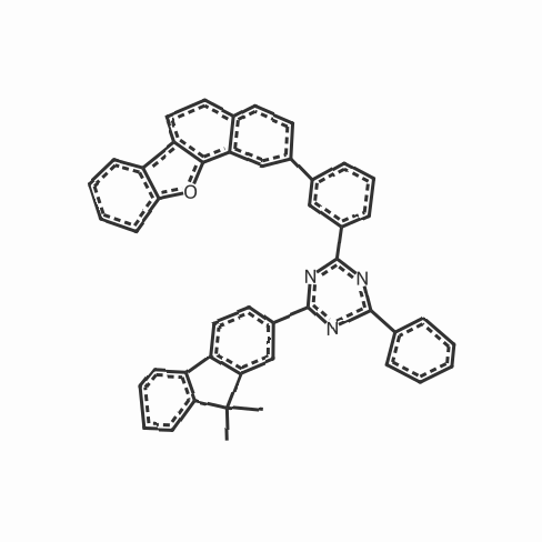 CC1(C)c2ccccc2-c2ccc(-c3nc(-c4ccccc4)nc(-c4cccc(-c5ccc6ccc7c8ccccc8oc7c6c5)c4)n3)cc21